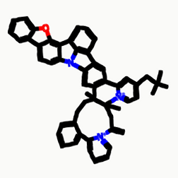 C=C1CC2(C)[n+]3ccc(CC(C)(C)C)cc3-c3cc4c5cccc6c7c8oc9ccccc9c8ccc7n(c4cc3C2(C)CCc2ccccc2-c2cccc[n+]21)c56